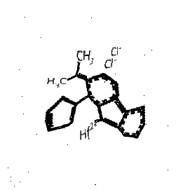 CC(C)=c1ccc2c(c1C1=CC=CC1)[C]([Hf+2])=c1ccccc1=2.[Cl-].[Cl-]